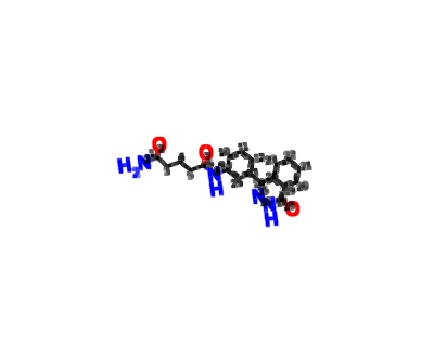 NC(=O)CCCC(=O)Nc1cccc(-c2n[nH]c(=O)c3ccccc23)c1